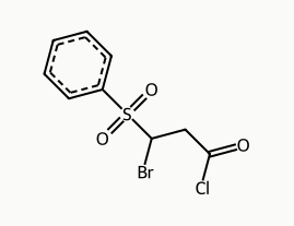 O=C(Cl)CC(Br)S(=O)(=O)c1ccccc1